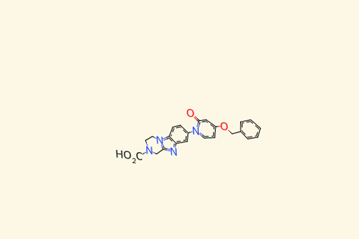 O=C(O)N1CCn2c(nc3cc(-n4ccc(OCc5ccccc5)cc4=O)ccc32)C1